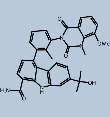 COc1cccc2c(=O)n(-c3cccc(-c4ccc(C(N)=O)c5[nH]c6cc(C(C)(C)O)ccc6c45)c3C)c(=O)n(C)c12